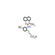 C[C@@H](C(=O)Nc1cc(C#N)ccc1CCCC(=O)O)c1cccc2ccccc12